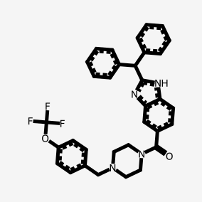 O=C(c1ccc2[nH]c(C(c3ccccc3)c3ccccc3)nc2c1)N1CCN(Cc2ccc(OC(F)(F)F)cc2)CC1